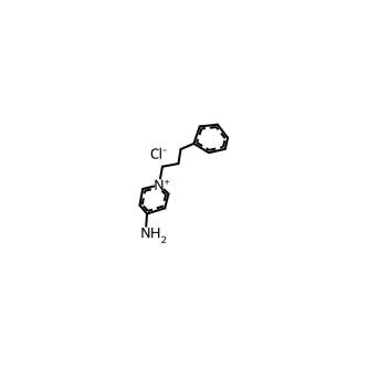 Nc1cc[n+](CCCc2ccccc2)cc1.[Cl-]